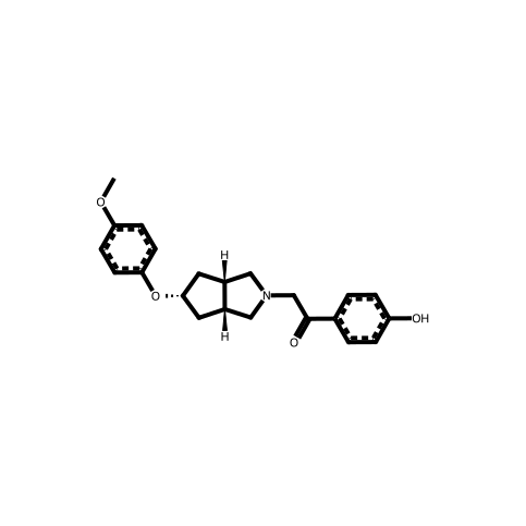 COc1ccc(O[C@@H]2C[C@@H]3CN(CC(=O)c4ccc(O)cc4)C[C@@H]3C2)cc1